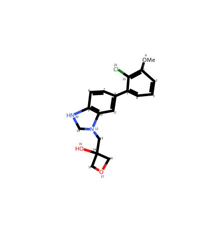 COc1cccc(-c2ccc3c(c2)N(CC2(O)COC2)CN3)c1Cl